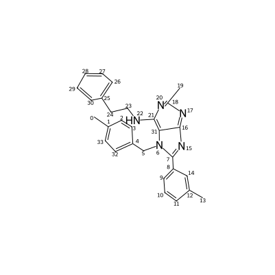 Cc1ccc(Cn2c(-c3cccc(C)c3)nc3nc(C)nc(NCCc4ccccc4)c32)cc1